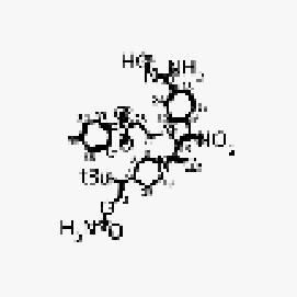 CC(C)(C)C(COC(N)=O)C1CCN(C(=O)c2c([N+](=O)[O-])c3ccc(C(N)=NO)cc3n2CCS(=O)(=O)c2ccccc2)CC1